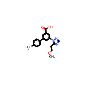 COCCc1ncnn1-c1cc(C(=O)O)cc(-c2ccc(C)cc2)c1